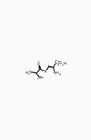 CC(C)C(N)C(=O)SCC(N)C(=O)O